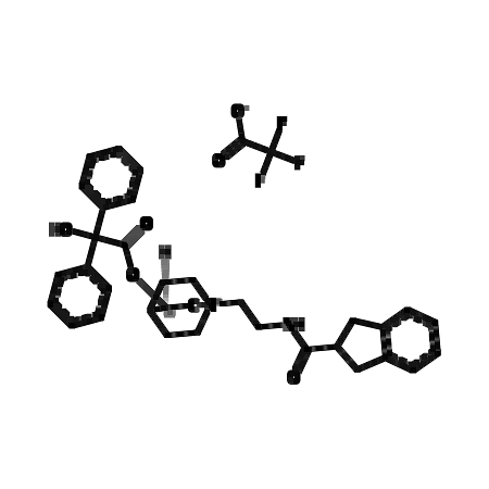 O=C(NCC[N+]12CCC(CC1)[C@@H](OC(=O)C(O)(c1ccccc1)c1ccccc1)C2)C1Cc2ccccc2C1.O=C([O-])C(F)(F)F